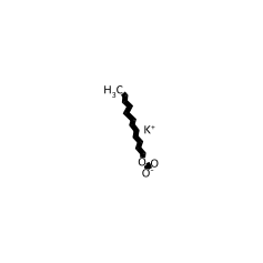 CCCCCCCCCCCCOC(=O)[O-].[K+]